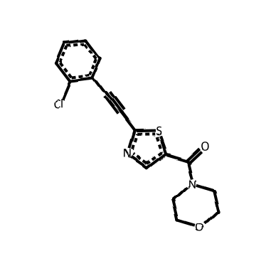 O=C(c1cnc(C#Cc2ccccc2Cl)s1)N1CCOCC1